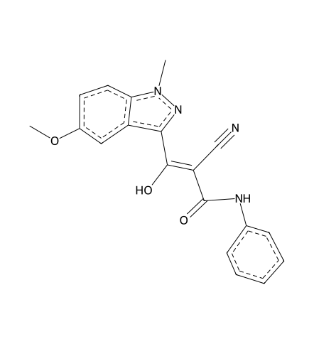 COc1ccc2c(c1)c(/C(O)=C(\C#N)C(=O)Nc1ccccc1)nn2C